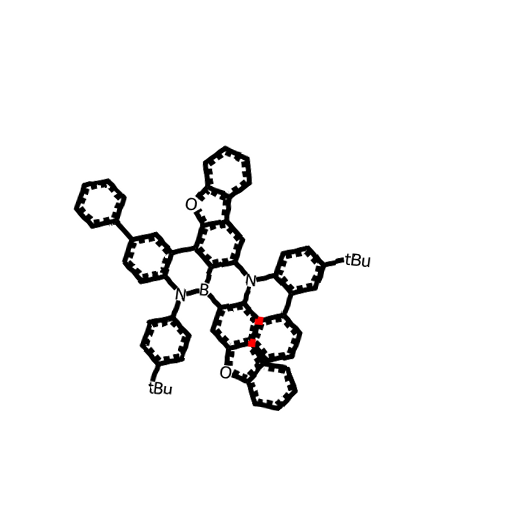 CC(C)(C)c1ccc(N2B3c4cc5oc6ccccc6c5cc4N(c4ccc(C(C)(C)C)cc4-c4ccccc4)c4cc5c(oc6ccccc65)c(c43)-c3cc(-c4ccccc4)ccc32)cc1